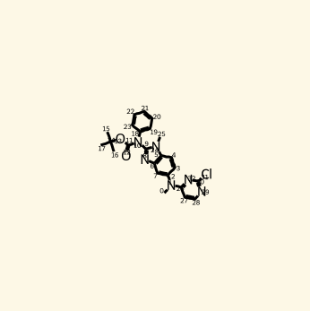 CN(c1ccc2c(c1)nc(N(C(=O)OC(C)(C)C)c1ccccc1)n2C)c1ccnc(Cl)n1